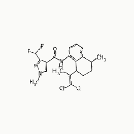 CC(=C(Cl)Cl)C1CCC(C)c2cccc(NC(=O)c3cn(C)nc3C(F)F)c21